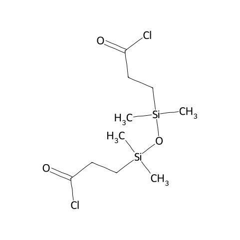 C[Si](C)(CCC(=O)Cl)O[Si](C)(C)CCC(=O)Cl